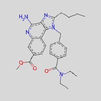 CCCCc1nc2c(N)nc3cc(C(=O)OC)ccc3c2n1Cc1ccc(C(=O)N(CC)CC)cc1